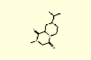 CC(C)N1CCN2C(=O)CN(C)C(=O)C2C1